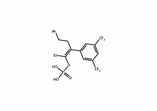 CC/C(OP(=O)(O)O)=C(\CCC(C)C)c1cc(C(F)(F)F)cc(C(F)(F)F)c1